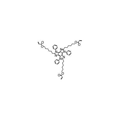 C=CC(=O)OCCCCCCc1nc2c(c3nc(CCCCCCOC(=O)C=C)n(-c4ccccc4)c3c3nc(CCCCCCOC(=O)C=C)n(-c4ccccc4)c23)n1-c1ccccc1